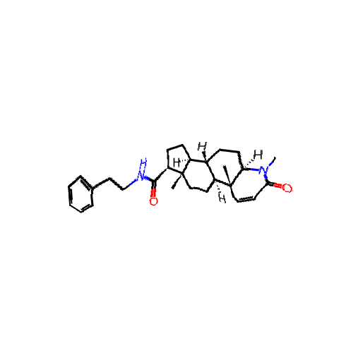 CN1C(=O)C=C[C@]2(C)[C@H]3CC[C@]4(C)[C@@H](C(=O)NCCc5ccccc5)CC[C@H]4[C@@H]3CC[C@@H]12